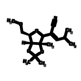 COC[C@H]1OC(C(C#N)=CN(C)C)[C@]2(C)OC(C)(C)O[C@H]12